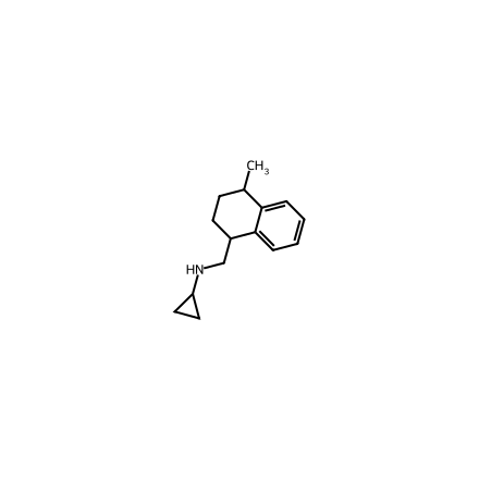 CC1CCC(CNC2CC2)c2ccccc21